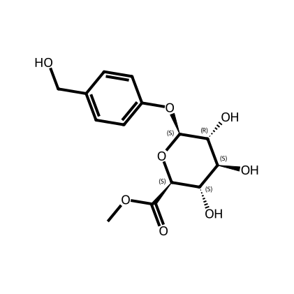 COC(=O)[C@H]1O[C@@H](Oc2ccc(CO)cc2)[C@H](O)[C@@H](O)[C@@H]1O